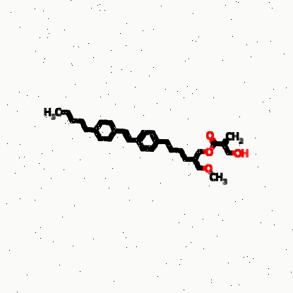 C=C(CO)C(=O)OCC(CCCCc1ccc(/C=C/C2CCC(CCCCC)CC2)cc1)COC